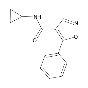 O=C(NC1CC1)c1cnoc1-c1ccccc1